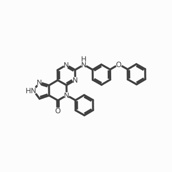 O=c1c2c[nH]nc2c2cnc(Nc3cccc(Oc4ccccc4)c3)nc2n1-c1ccccc1